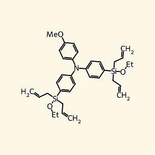 C=CC[Si](CC=C)(OCC)c1ccc(N(c2ccc(OC)cc2)c2ccc([Si](CC=C)(CC=C)OCC)cc2)cc1